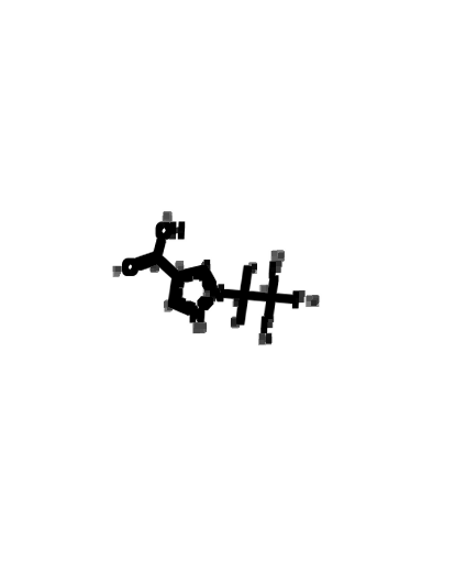 CC(C)(n1cc(C(=O)O)cn1)C(F)(F)F